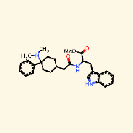 COC(=O)C(Cc1c[nH]c2ccccc12)NC(=O)CC1CCC(c2ccccc2)(N(C)C)CC1